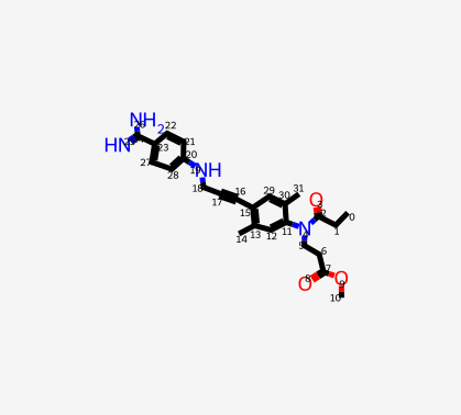 CCC(=O)N(CCC(=O)OC)c1cc(C)c(C#CCNc2ccc(C(=N)N)cc2)cc1C